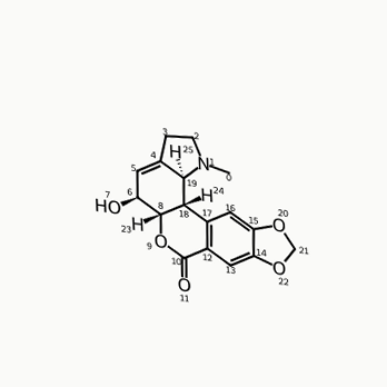 CN1CCC2=C[C@H](O)[C@H]3OC(=O)c4cc5c(cc4[C@H]3[C@@H]21)OCO5